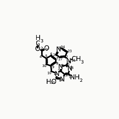 COC(=O)Cc1cccc(Cn2c(O)nc3c(N)nc(N(C)c4ccncc4)nc32)c1